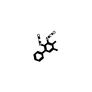 Cc1cc(-c2ccccc2)c(N=C=O)c(N=C=O)c1C